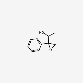 CC(O)C1(c2ccccc2)CO1